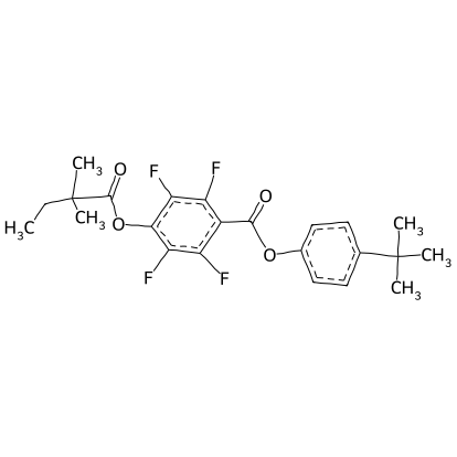 CCC(C)(C)C(=O)Oc1c(F)c(F)c(C(=O)Oc2ccc(C(C)(C)C)cc2)c(F)c1F